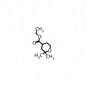 CCOC(=O)C1CCOC(C)(C)C1